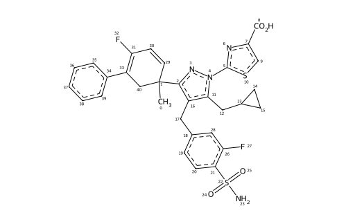 CC1(c2nn(-c3nc(C(=O)O)cs3)c(CC3CC3)c2Cc2ccc(S(N)(=O)=O)c(F)c2)C=CC(F)=C(c2ccccc2)C1